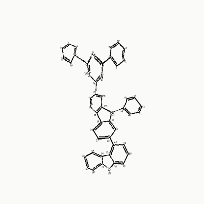 c1ccc(-c2nc(-c3ccccc3)nc(-c3ccc4c5ccc(-c6cccc7oc8ccccc8c67)cc5n(-c5ccccc5)c4c3)n2)cc1